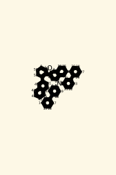 C1=c2oc3c(cc(N(c4ccc(-c5ccccc5)cc4)c4cccc(-c5ccccc5)c4)c4ccccc43)c2=C(c2ccc3ccccc3c2)CC1